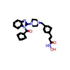 O=C(C=Cc1ccc(CN2CCN(c3nc4ccccc4n3C(=O)c3ccccc3)CC2)cc1)NO